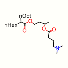 CCCCCCCCC(CCCCCC)C(=O)OCCC(C)OC(=O)CCCN(C)C